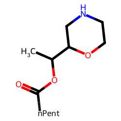 CCCCCC(=O)OC(C)C1CNCCO1